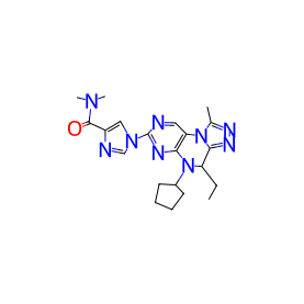 CCC1c2nnc(C)n2-c2cnc(-n3cnc(C(=O)N(C)C)c3)nc2N1C1CCCC1